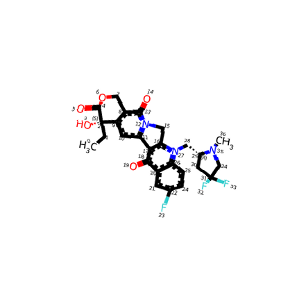 CC[C@@]1(O)C(=O)OCc2c1cc1n(c2=O)Cc2c-1c(=O)c1cc(F)ccc1n2C[C@H]1CC(F)(F)CN1C